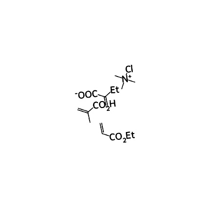 C=C(C)C(=O)O.C=C(CC)C(=O)[O-].C=CC(=O)OCC.C[N+](C)(C)Cl